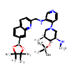 C[C@H]1CN(c2ccncc2NCc2ccc3ccc(B4OC(C)(C)C(C)(C)O4)cc3n2)C[C@@H](NC(=O)O)[C@@H]1O[Si](C)(C)C(C)(C)C